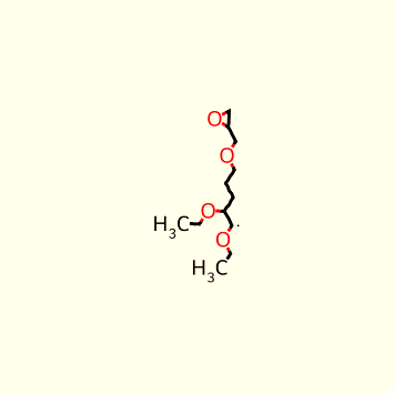 CCO[CH]C(CCCOCC1CO1)OCC